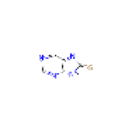 S=C1N=c2cncnc2=[N+]1